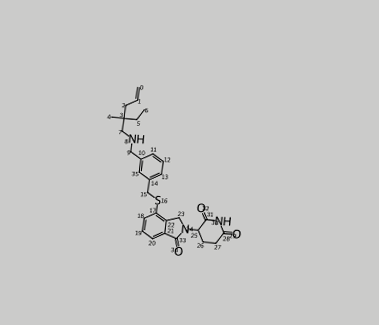 C=CCC(C)(CC)CNCc1cccc(CSc2cccc3c2CN(C2CCC(=O)NC2=O)C3=O)c1